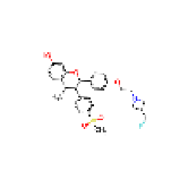 CC1=C(c2ccc(S(C)(=O)=O)cc2)[C@H](c2ccc(OCCN3CC(CF)C3)cc2)Oc2cc(O)ccc21